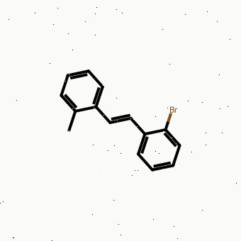 Cc1ccccc1/C=C/c1ccccc1Br